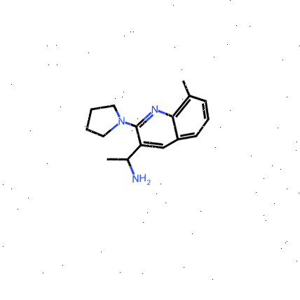 Cc1cccc2cc(C(C)N)c(N3CCCC3)nc12